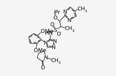 COc1cccc(OC)c1-n1c(NS(=O)(=O)C(C)C(OC(C)C)c2ncc(C)cn2)nnc1[C@H]1CCC(=O)N1C